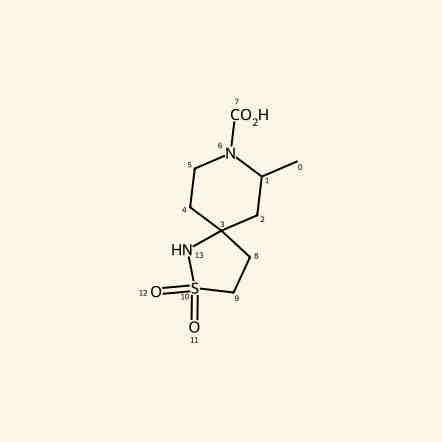 CC1CC2(CCN1C(=O)O)CCS(=O)(=O)N2